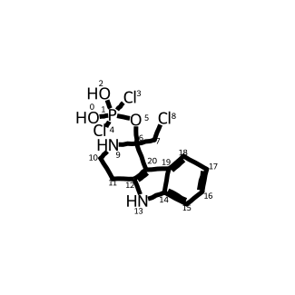 OP(O)(Cl)(Cl)OC1(CCl)NCCc2[nH]c3ccccc3c21